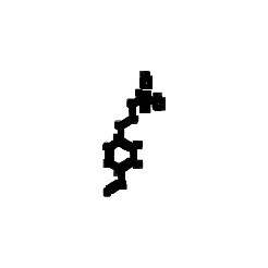 C=Cc1ccc(CCC[SiH](Cl)Cl)cc1